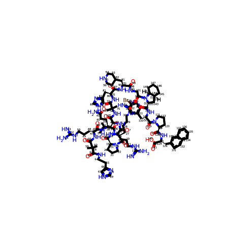 CC(C)C[C@H](NC(=O)[C@@H](CCCNC(=N)N)NC(=O)[C@@H]1CCCN1C(=O)[C@H](CCCCNC(=N)N)NC(=O)[C@H](CCC(N)=O)NC(=O)[C@@H](CCCNC(=N)N)NC(=O)C(C)(C)C(=O)NCCc1c[nH]cn1)C(=O)NC(C)(C)C(=O)N[C@@H](Cc1c[nH]cn1)C(=O)N[C@@H](CC1CCNCC1)C(=O)NCC(=O)N1[C@H](C(=O)N[C@@H](Cc2ccc(Br)cc2)C(=O)N2CCC[C@H]2C(=O)N[C@H](Cc2ccc3ccccc3c2)C(=O)O)C[C@@H]2CCCC[C@@H]21